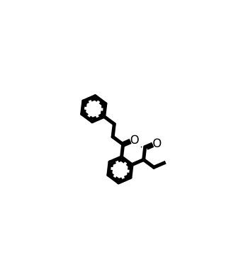 CCC([C]=O)c1ccccc1C(=O)CCc1ccccc1